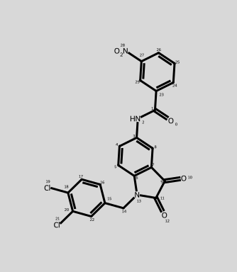 O=C(Nc1ccc2c(c1)C(=O)C(=O)N2Cc1ccc(Cl)c(Cl)c1)c1cccc([N+](=O)[O-])c1